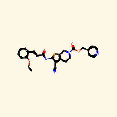 CCOc1ccccc1/C=C/C(=O)Nc1sc2c(c1C#N)CCN(C(=O)OCc1ccncc1)C2